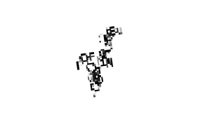 Cc1ccc(S(=O)(=O)n2cc(-c3cncc(O[C@@H]4CCCN(C(=O)OC(C)(C)C)C4)n3)c3cc(-c4c(F)cccc4F)ccc32)cc1